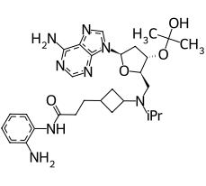 CC(C)N(C[C@H]1O[C@@H](n2cnc3c(N)ncnc32)C[C@@H]1OC(C)(C)O)C1CC(CCC(=O)Nc2ccccc2N)C1